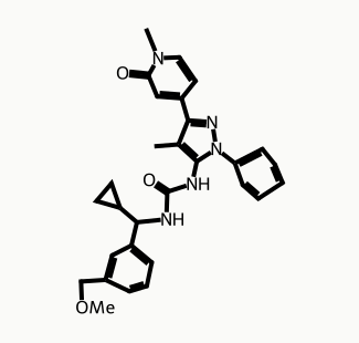 COCc1cccc(C(NC(=O)Nc2c(C)c(-c3ccn(C)c(=O)c3)nn2-c2ccccc2)C2CC2)c1